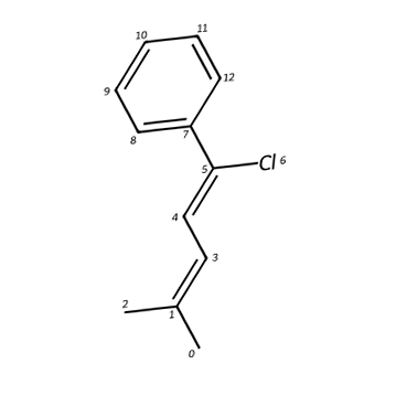 CC(C)=CC=C(Cl)c1ccccc1